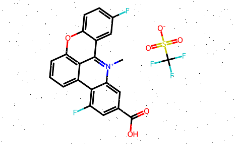 C[n+]1c2c3c(cccc3c3c(F)cc(C(=O)O)cc31)Oc1ccc(F)cc1-2.O=S(=O)([O-])C(F)(F)F